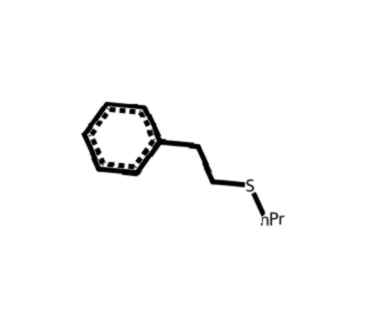 C[CH]CSCCc1ccccc1